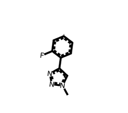 Cn1cc(-c2cc[c]cc2F)nn1